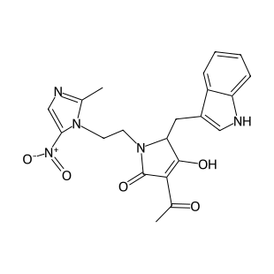 CC(=O)C1=C(O)C(Cc2c[nH]c3ccccc23)N(CCn2c([N+](=O)[O-])cnc2C)C1=O